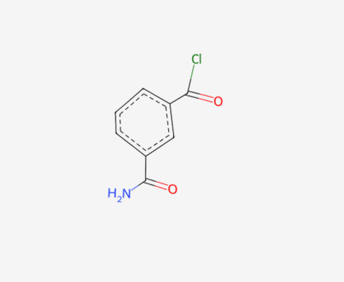 NC(=O)c1cccc(C(=O)Cl)c1